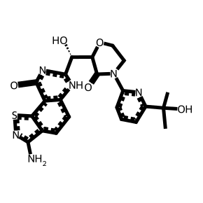 CC(C)(O)c1cccc(N2CCOC([C@@H](O)c3nc(=O)c4c(ccc5c(N)nsc54)[nH]3)C2=O)n1